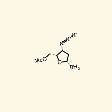 B[C@H]1C[C@@H](N=[N+]=[N-])[C@@H](COC)O1